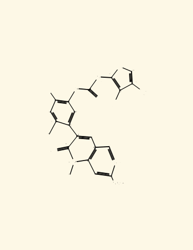 CNc1cc2c(cn1)cc(-c1cc(NC(=O)Nc3occ(C(C)(C)C)c3Cl)c(F)cc1C)c(=O)n2C